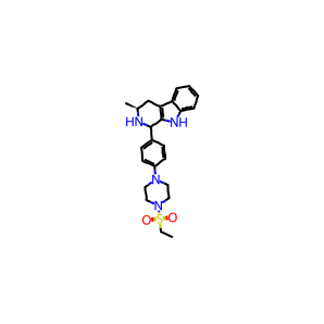 CCS(=O)(=O)N1CCN(c2ccc(C3N[C@@H](C)Cc4c3[nH]c3ccccc43)cc2)CC1